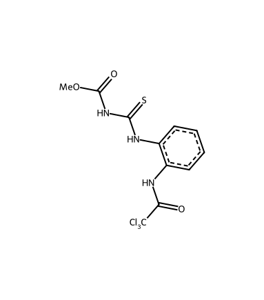 COC(=O)NC(=S)Nc1ccccc1NC(=O)C(Cl)(Cl)Cl